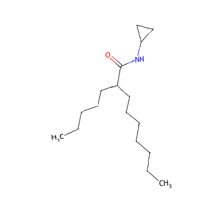 CCCCCCCC(CCCCC)C(=O)NC1CC1